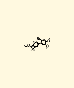 CCOc1snc2cc(-c3cc(OC)c(OC)cc3Br)cnc12